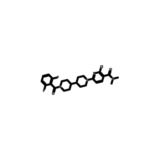 CN(C)C(=O)c1ccc(N2CCC(C3CCN(C(=O)c4c(F)cccc4F)CC3)CC2)nc1Cl